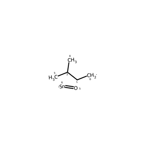 [CH2]CC(C)C.[O]=[Sn]